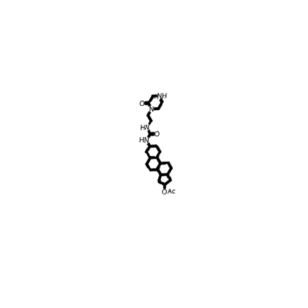 CC(=O)OC1CC2CCC3C4CCC(NC(=O)NCCN5CCNCC5=O)CC4CCC3C2C1